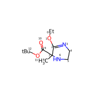 CCOC1=NCCNC1(C)C(=O)OC(C)(C)C